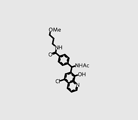 COCCCNC(=O)c1ccc(C(NC(C)=O)c2cc(Cl)c3cccnc3c2O)cc1